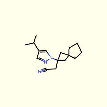 CC(C)c1cnn(C2(CC#N)CC3(CCCC3)C2)c1